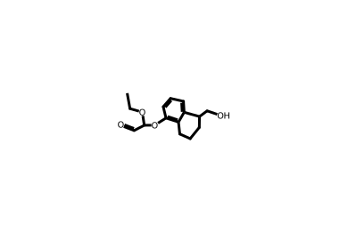 CCOC(C=O)Oc1cccc2c1CCCC2CO